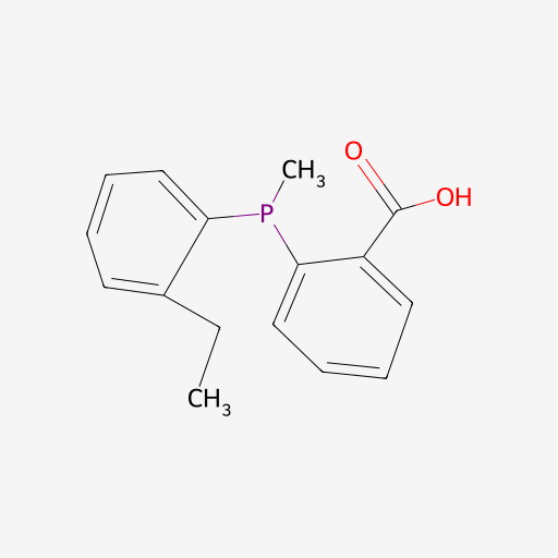 CCc1ccccc1P(C)c1ccccc1C(=O)O